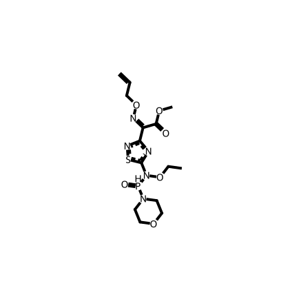 C=CCON=C(C(=O)OC)c1nsc(N(OCC)[PH](=O)N2CCOCC2)n1